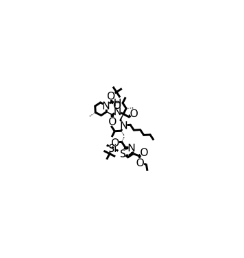 CCCCCCN(C[C@@](C=O)(NC(=O)[C@H]1C[C@H](C)CCN1C(=O)OC(C)(C)C)[C@@H](C)CC)[C@H](C[C@@H](O[Si](C)(C)C(C)(C)C)c1nc(C(=O)OCC)cs1)C(C)C